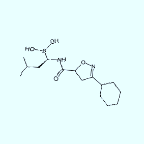 CC(C)C[C@H](NC(=O)C1CC(C2CCCCC2)=NO1)B(O)O